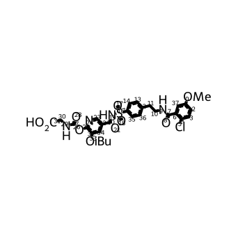 COc1ccc(Cl)c(C(=O)NCCc2ccc(S(=O)(=O)NC(=O)c3cnc(OC(=O)NCC(=O)O)c(OCC(C)C)c3)cc2)c1